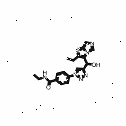 CCNC(=O)c1ccc(-n2cc(C(O)c3c(CC)sc4cncn34)nn2)cc1